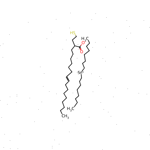 CCCCCCCCC=CCCCCCCC(CCS)C(=O)[O-].CCCCCCC[CH2][Sn+][CH2]CCCCCCC